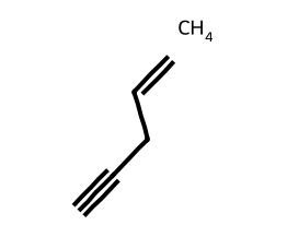 C.C#CCC=C